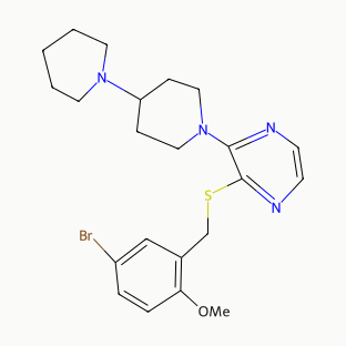 COc1ccc(Br)cc1CSc1nccnc1N1CCC(N2CCCCC2)CC1